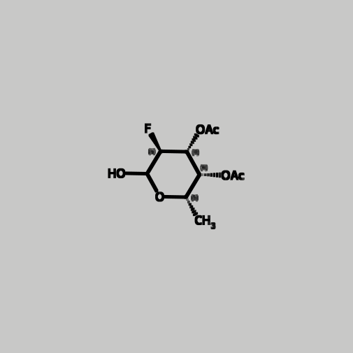 CC(=O)O[C@@H]1[C@H](OC(C)=O)[C@H](C)OC(O)[C@H]1F